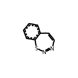 C1=Cc2ccccc2SN=N1